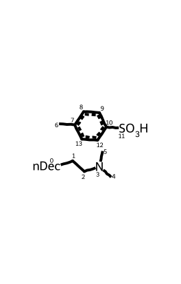 CCCCCCCCCCCCN(C)C.Cc1ccc(S(=O)(=O)O)cc1